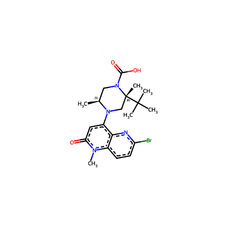 C[C@H]1CN(C(=O)O)[C@](C)(C(C)(C)C)CN1c1cc(=O)n(C)c2ccc(Br)nc12